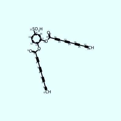 C#CC#CC#CC#CC(=O)Oc1ccc(S(=O)(=O)O)cc1OC(=O)C#CC#CC#CC#C